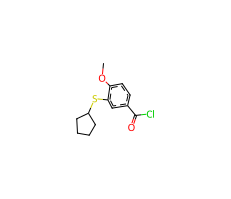 COc1ccc(C(=O)Cl)cc1SC1CCCC1